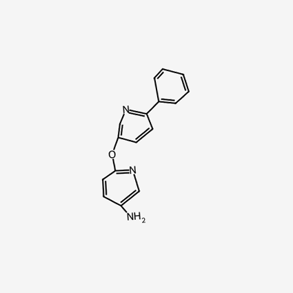 Nc1ccc(Oc2ccc(-c3ccccc3)nc2)nc1